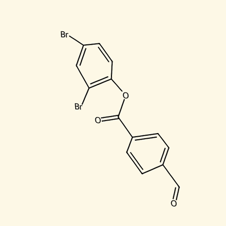 O=Cc1ccc(C(=O)Oc2ccc(Br)cc2Br)cc1